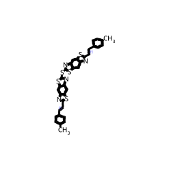 Cc1ccc(/C=C/c2nc3cc4sc(Sc5nc6cc7sc(/C=C/c8ccc(C)cc8)nc7cc6s5)nc4cc3s2)cc1